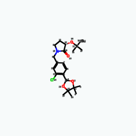 CC1(C)OB(c2ccc(CN3CC[C@H](O[Si](C)(C)C(C)(C)C)C3=O)cc2Cl)OC1(C)C